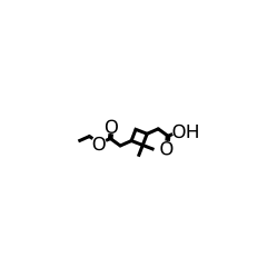 CCOC(=O)CC1CC(CC(=O)O)C1(C)C